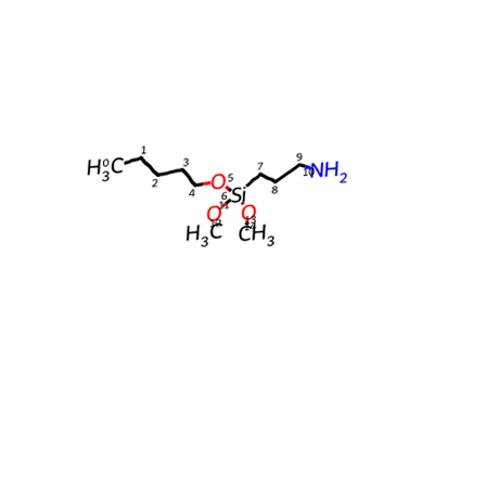 CCCCCO[Si](CCCN)(OC)OC